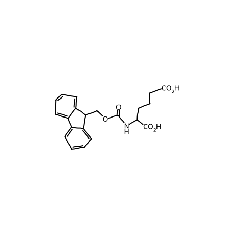 O=C(O)CCCC(NC(=O)OCC1c2ccccc2-c2ccccc21)C(=O)O